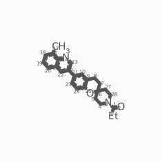 CCC(=O)N1CCC2(CCc3cc(-c4cnc5c(C)cccc5c4)ccc3O2)CC1